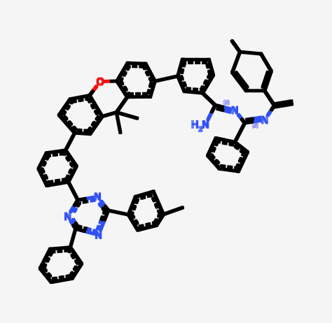 C=C(/N=C(\N=C(/N)c1cccc(-c2ccc3c(c2)C(C)(C)c2cc(-c4cccc(-c5nc(-c6ccccc6)nc(-c6ccc(C)cc6)n5)c4)ccc2O3)c1)c1ccccc1)C1=CCC(C)C=C1